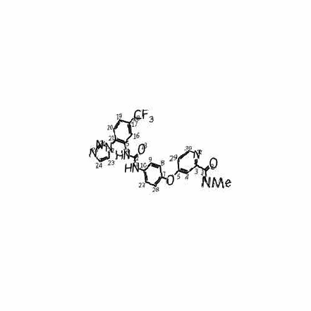 CNC(=O)c1cc(Oc2ccc(NC(=O)Nc3cc(C(F)(F)F)ccc3-n3ccnn3)cc2)ccn1